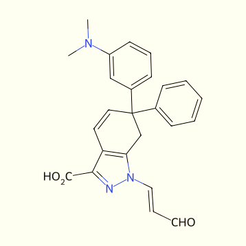 CN(C)c1cccc(C2(c3ccccc3)C=Cc3c(C(=O)O)nn(C=CC=O)c3C2)c1